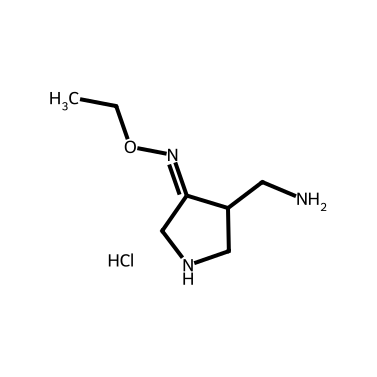 CCON=C1CNCC1CN.Cl